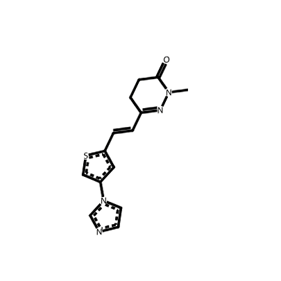 CN1N=C(/C=C/c2cc(-n3ccnc3)cs2)CCC1=O